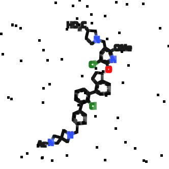 COc1nc(O[C@H]2CCc3c(-c4cccc(-c5ccc(CN6CC7(C6)CN(C(C)=O)C7)cc5)c4Cl)cccc32)c(Cl)cc1CN1CC[C@@H](C(=O)O)C1